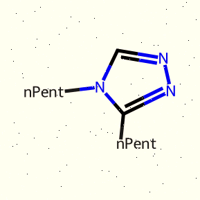 CCCCCc1nncn1CCCCC